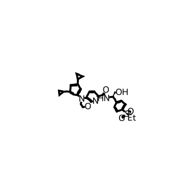 CCS(=O)(=O)c1ccc([C@H](CO)NC(=O)c2ccc3c(n2)OCCN3c2cc(C3CC3)cc(C3CC3)c2)cc1